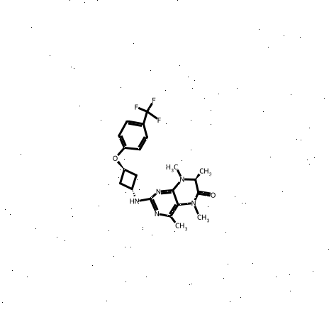 Cc1nc(N[C@H]2C[C@H](Oc3ccc(C(F)(F)F)cc3)C2)nc2c1N(C)C(=O)[C@H](C)N2C